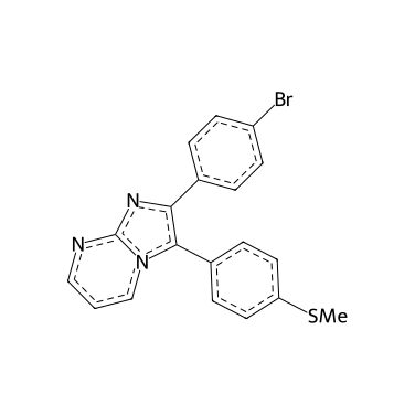 CSc1ccc(-c2c(-c3ccc(Br)cc3)nc3ncccn23)cc1